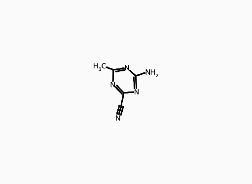 Cc1nc(N)nc(C#N)n1